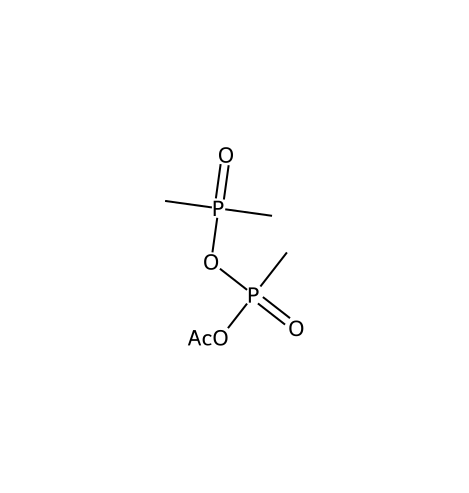 CC(=O)OP(C)(=O)OP(C)(C)=O